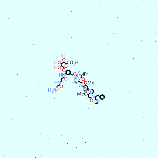 CCC(C)[C@@H]([C@@H](CC(=O)N1CCC[C@H]1[C@H](OC)[C@@H](C)C(=O)NC(Cc1ccccc1)c1nccs1)OC)N(C)C(=O)C(NC(=O)[C@H](C(C)C)N(C)C(=O)OCc1ccc(O[C@@H]2OC(C(=O)O)[C@@H](O)[C@H](O)C2O)c(NC(=O)CCNC(=O)CON)c1)C(C)C